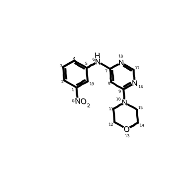 O=[N+]([O-])c1cccc(Nc2cc(N3CCOCC3)ncn2)c1